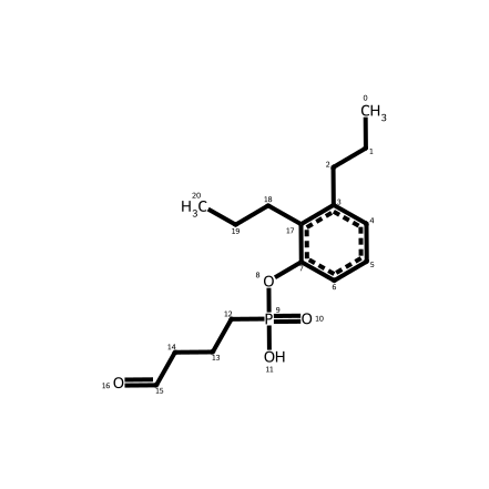 CCCc1cccc(OP(=O)(O)CCCC=O)c1CCC